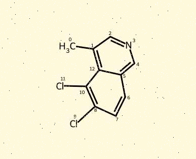 Cc1cncc2ccc(Cl)c(Cl)c12